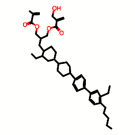 C=C(C)C(=O)OCC(COC(=O)C(=C)CO)CC1CCC(C2CCC(c3ccc(-c4ccc(CCCCC)c(CC)c4)cc3)CC2)CC1CC